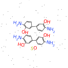 Nc1ccc(-c2ccc(N)c(O)c2)cc1O.Nc1ccc(-c2ccc(N)c(O)c2)cc1O.O=S